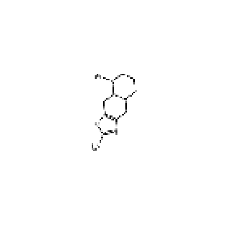 CCCN1CCCC2Cc3nc(N)oc3CC21